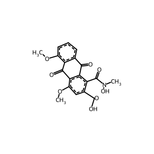 COc1cccc2c1C(=O)c1c(OC)cc(C(=O)O)c(C(=O)N(C)O)c1C2=O